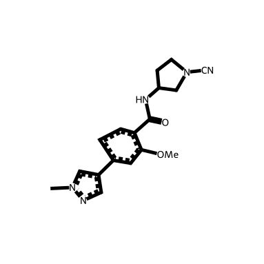 COc1cc(-c2cnn(C)c2)ccc1C(=O)NC1CCN(C#N)C1